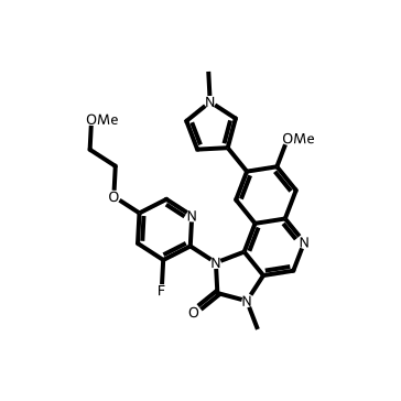 COCCOc1cnc(-n2c(=O)n(C)c3cnc4cc(OC)c(-c5ccn(C)c5)cc4c32)c(F)c1